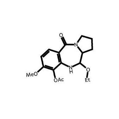 CCOC1Nc2c(ccc(OC)c2OC(C)=O)C(=O)N2CCCC12